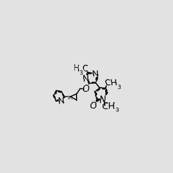 Cc1ncc(-c2cc(=O)n(C)cc2C)c(OCC2C[C@H]2c2ccccn2)n1